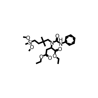 CCOC(=O)CC(C(=O)OCC)N(CC(C)(C)CC[Si](C)(OC)OC)C(=O)Nc1ccccc1